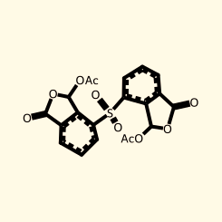 CC(=O)OC1OC(=O)c2cccc(S(=O)(=O)c3cccc4c3C(OC(C)=O)OC4=O)c21